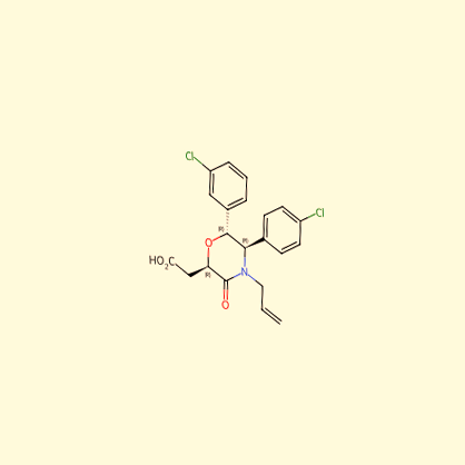 C=CCN1C(=O)[C@@H](CC(=O)O)O[C@H](c2cccc(Cl)c2)[C@H]1c1ccc(Cl)cc1